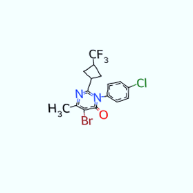 Cc1nc(C2CC(C(F)(F)F)C2)n(-c2ccc(Cl)cc2)c(=O)c1Br